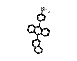 Bc1ccc(-c2c3ccccc3c(-c3ccc4ccccc4c3)c3ccccc23)cc1